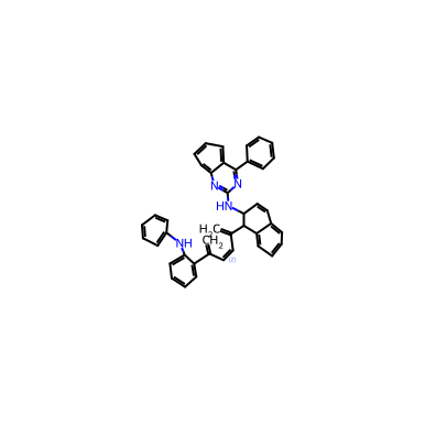 C=C(/C=C\C(=C)C1c2ccccc2C=CC1Nc1nc(-c2ccccc2)c2ccccc2n1)c1ccccc1Nc1ccccc1